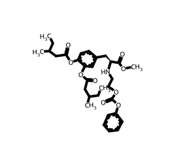 CCC(C)CC(=O)Oc1ccc(C[C@H](NCCOC(=O)Oc2ccccc2)C(=O)OC)cc1OC(=O)CC(C)CC